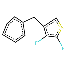 Fc1scc(Cc2ccccc2)c1F